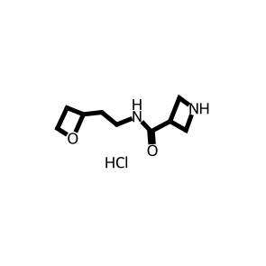 Cl.O=C(NCCC1CCO1)C1CNC1